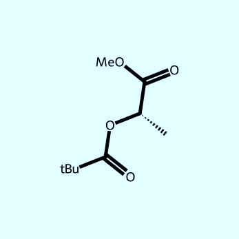 COC(=O)[C@H](C)OC(=O)C(C)(C)C